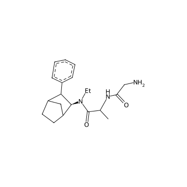 CCN(C(=O)C(C)NC(=O)CN)[C@H]1C2CCC(C2)C1c1ccccc1